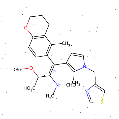 Cc1c(/C(=C(\C(OC(C)(C)C)C(=O)O)N(C)C=O)c2ccn(Cc3cscn3)c2C)ccc2c1CCCO2